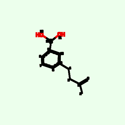 C=C(C)CCc1cccc(B(O)O)c1